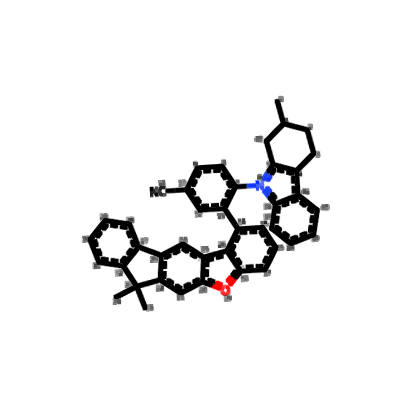 CC1CCc2c(n(-c3ccc(C#N)cc3-c3cccc4oc5cc6c(cc5c34)-c3ccccc3C6(C)C)c3ccccc23)C1